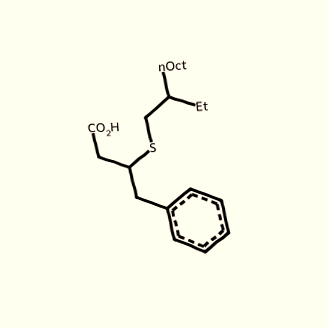 CCCCCCCCC(CC)CSC(CC(=O)O)Cc1ccccc1